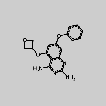 Nc1nc(N)c2c(OC3COC3)cc(Oc3ccccc3)cc2n1